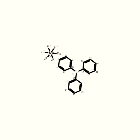 F[As-](F)(F)(F)(F)F.c1ccc([S+](c2ccccc2)c2ccccc2)cc1